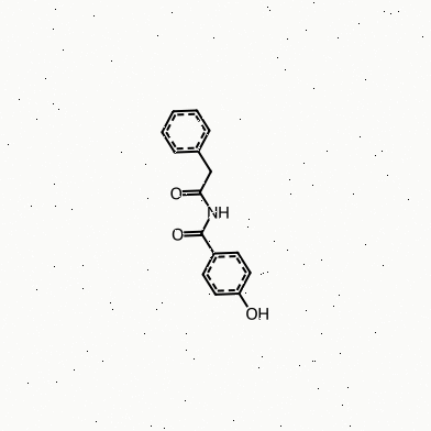 O=C(Cc1ccccc1)NC(=O)c1ccc(O)cc1